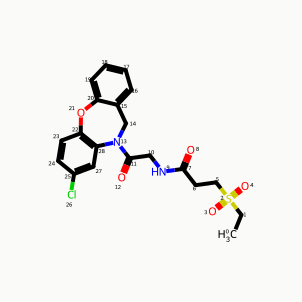 CCS(=O)(=O)CCC(=O)NCC(=O)N1Cc2ccccc2Oc2ccc(Cl)cc21